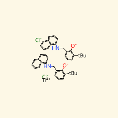 CC(C)(C)c1cccc(CNc2cccc3ccccc23)c1[O-].CC(C)(C)c1cccc(CNc2cccc3ccccc23)c1[O-].[Cl-].[Cl-].[Ti+4]